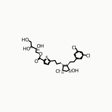 O=C(OC[C@@H](O)[C@H](O)CO)c1ccc(CCC[C@@H]2[C@@H](CCc3cc(Cl)cc(Cl)c3)[C@H](O)C[C@@H]2Cl)s1